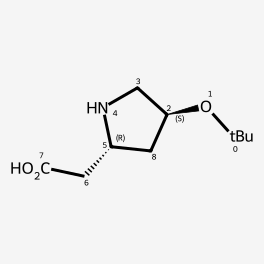 CC(C)(C)O[C@@H]1CN[C@@H](CC(=O)O)C1